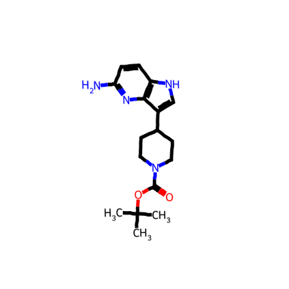 CC(C)(C)OC(=O)N1CCC(c2c[nH]c3ccc(N)nc23)CC1